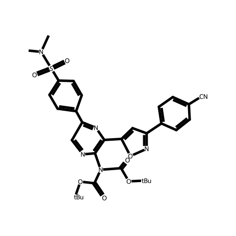 CN(C)S(=O)(=O)c1ccc(-c2cnc(N(C(=O)OC(C)(C)C)C(=O)OC(C)(C)C)c(-c3cc(-c4ccc(C#N)cc4)no3)n2)cc1